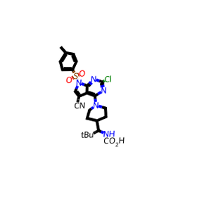 Cc1ccc(S(=O)(=O)n2cc(C#N)c3c(N4CCC(C(NC(=O)O)C(C)(C)C)CC4)nc(Cl)nc32)cc1